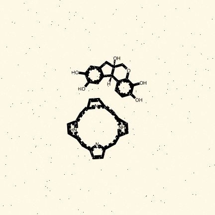 C1=Cc2cc3ccc(cc4nc(cc5ccc(cc1n2)[nH]5)C=C4)[nH]3.Oc1cc2c(cc1O)[C@H]1c3ccc(O)c(O)c3OC[C@@]1(O)C2